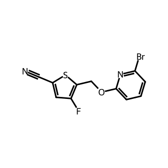 N#Cc1cc(F)c(COc2cccc(Br)n2)s1